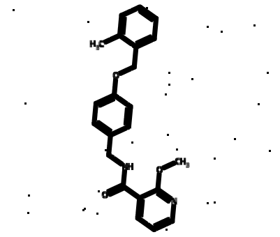 COc1ncccc1C(=O)NCc1ccc(OCc2ccccc2C)cc1